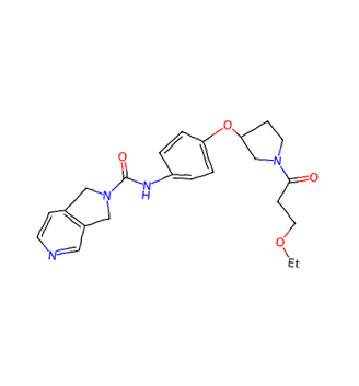 CCOCCC(=O)N1CCC(Oc2ccc(NC(=O)N3Cc4ccncc4C3)cc2)C1